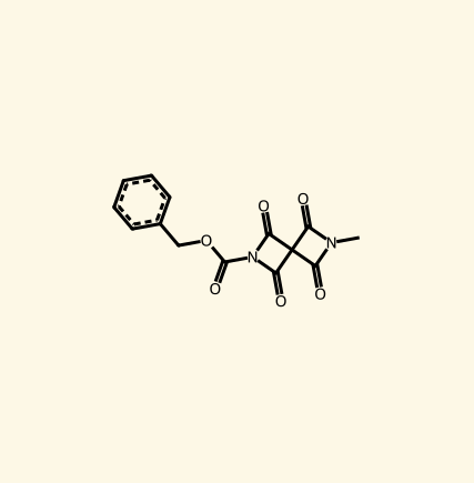 CN1C(=O)C2(C1=O)C(=O)N(C(=O)OCc1ccccc1)C2=O